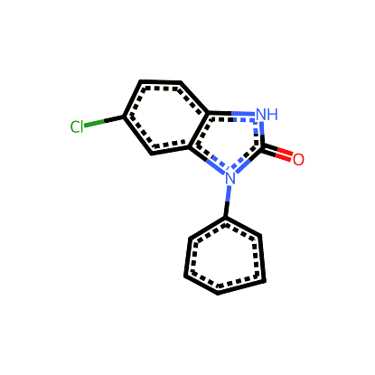 O=c1[nH]c2ccc(Cl)cc2n1-c1ccccc1